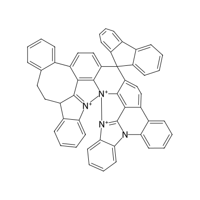 c1ccc2c(c1)CCC1C3=[N+](c4ccccc41)[N+]14c5c(ccc-2c53)C2(c3ccccc3-c3ccccc32)c2ccc3c5ccccc5n5c6ccccc6[n+]1c5c3c24